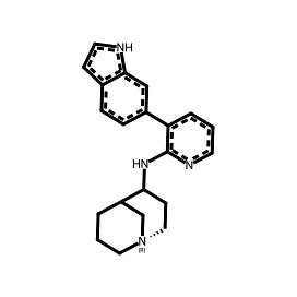 c1cnc(NC2CC[N@]3CCCC2C3)c(-c2ccc3cc[nH]c3c2)c1